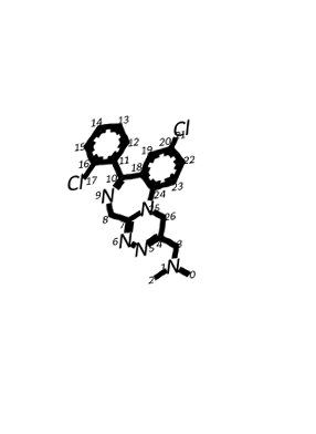 CN(C)CC1=NN=C2CN=C(c3ccccc3Cl)c3cc(Cl)ccc3N2C1